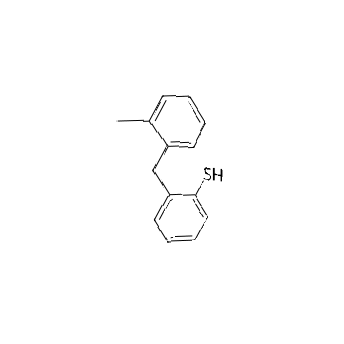 Cc1ccccc1Cc1ccccc1S